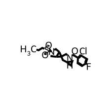 CCCS(=O)(=O)N1CC2C(C1)C2(CNC(=O)c1ccc(F)cc1Cl)CC1CC1